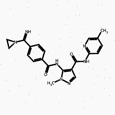 Cc1ccc(NC(=O)c2cnn(C)c2NC(=O)c2ccc(C(=N)N3CC3)cc2)nc1